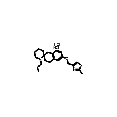 CCCN1CCCCC12CCc1cc(OCc3csc(C)n3)ccc1C2.Cl.Cl